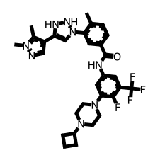 Cc1ccc(C(=O)Nc2cc(N3CCN(C4CCC4)CC3)c(F)c(C(F)(F)F)c2)cc1N1C=C(c2cnn(C)c2C)NN1